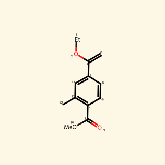 C=C(OCC)c1ccc(C(=O)OC)c(C)c1